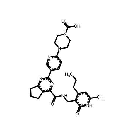 CCCc1cc(C)[nH]c(=O)c1CNC(=O)c1nc(-c2ccc(N3CCN(C(=O)O)CC3)nc2)nc2c1CCC2